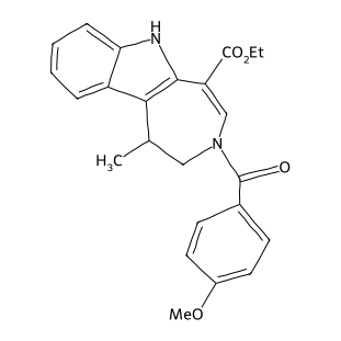 CCOC(=O)C1=CN(C(=O)c2ccc(OC)cc2)CC(C)c2c1[nH]c1ccccc21